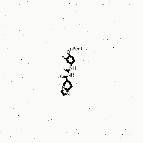 CCCCCOc1ccc(NC(=S)NC(=O)c2ccc3nccn3c2)cc1F